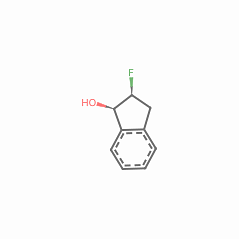 O[C@@H]1c2ccccc2C[C@@H]1F